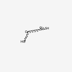 O=C(CSCSCSCSCC[S+]([O-])CSCS)SCSCCSCO